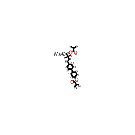 C=C(C)C(=O)OCC(C)(CCc1ccc(-c2ccc(OC(=O)C(=C)C)cc2)cc1)COC